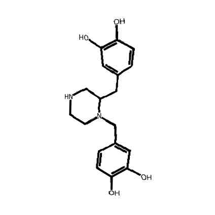 Oc1ccc(CC2CNCCN2Cc2ccc(O)c(O)c2)cc1O